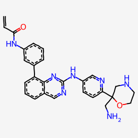 C=CC(=O)Nc1cccc(-c2cccc3cnc(Nc4ccc(C5(CN)CNCCO5)nc4)nc23)c1